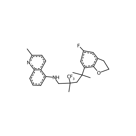 Cc1ccc2c(NCC(C)(CC(C)(C)c3cc(F)cc4c3OCC4)C(F)(F)F)cccc2n1